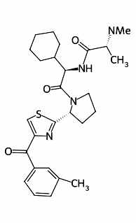 CN[C@H](C)C(=O)N[C@@H](C(=O)N1CCC[C@@H]1c1nc(C(=O)c2cccc(C)c2)cs1)C1CCCCC1